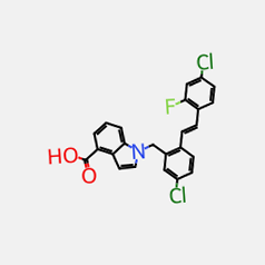 O=C(O)c1cccc2c1ccn2Cc1cc(Cl)ccc1/C=C/c1ccc(Cl)cc1F